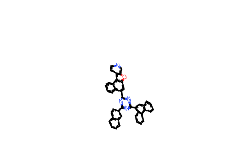 c1ccc2cc(-c3nc(-c4cc5ccccc5c5ccccc45)nc(-c4cc5oc6cnccc6c5c5ccccc45)n3)ccc2c1